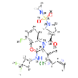 C=C(/C(Cl)=C\C=C/C)[C@@H](C(=O)NC1CC(F)(F)C1)N(C(=O)[C@@H]1CCN(S(=O)(=O)N2CC2)C1)c1cccc(F)c1